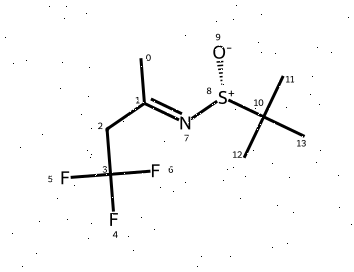 CC(CC(F)(F)F)=N[S@+]([O-])C(C)(C)C